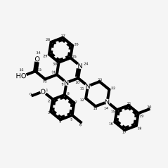 COc1ccc(C)cc1N1C(N2CCN(c3cccc(C)c3)CC2)=Nc2ccccc2C1CC(=O)O